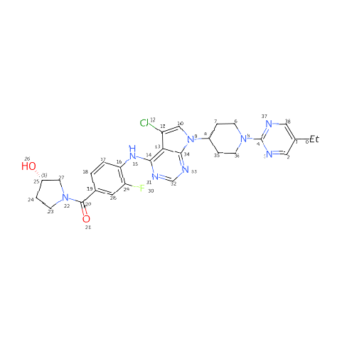 CCc1cnc(N2CCC(n3cc(Cl)c4c(Nc5ccc(C(=O)N6CC[C@H](O)C6)cc5F)ncnc43)CC2)nc1